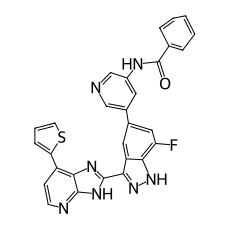 O=C(Nc1cncc(-c2cc(F)c3[nH]nc(-c4nc5c(-c6cccs6)ccnc5[nH]4)c3c2)c1)c1ccccc1